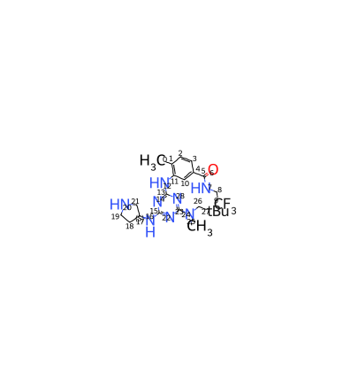 Cc1ccc(C(=O)NCC(F)(F)F)cc1Nc1nc(N[C@H]2CCNC2)nc(N(C)CC(C)(C)C)n1